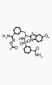 COc1ccc2nc(C(Cc3cccc(C(N)=NOC(C)=O)c3)NS(=O)(=O)c3cccc(C(N)=O)c3)sc2c1